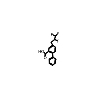 O=C(O)c1cc(CC(F)C(F)F)ccc1-c1ccccc1